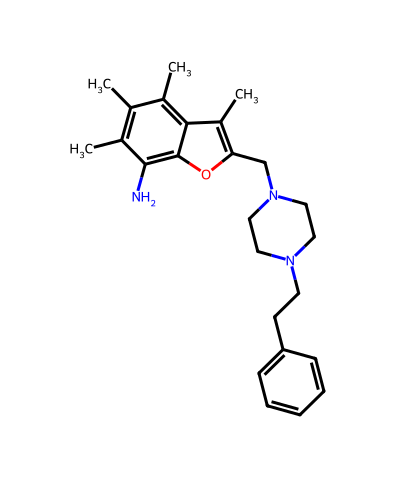 Cc1c(C)c(C)c2c(C)c(CN3CCN(CCc4ccccc4)CC3)oc2c1N